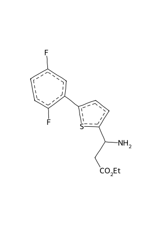 CCOC(=O)CC(N)c1ccc(-c2cc(F)ccc2F)s1